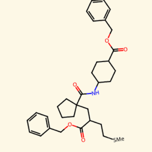 CSCCC(CC1(C(=O)NC2CCC(C(=O)OCc3ccccc3)CC2)CCCC1)C(=O)OCc1ccccc1